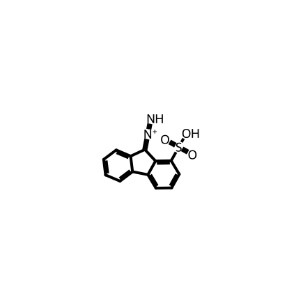 N=[N+]=C1c2ccccc2-c2cccc(S(=O)(=O)O)c21